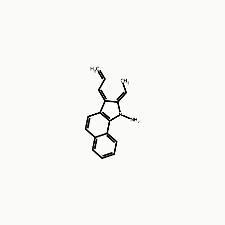 C=C/C=c1\c(=C/C)n(N)c2c1ccc1ccccc12